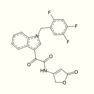 O=C1C=C(NC(=O)C(=O)c2cn(Cc3cc(F)c(F)cc3F)c3ccccc23)CO1